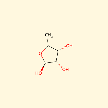 C[C@H]1O[C@H](O)[C@@H](O)[C@H]1O